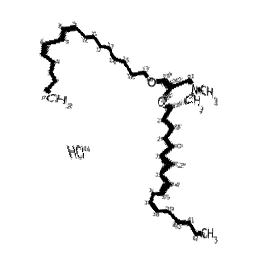 CCCCC/C=C\C/C=C\CCCCCCCCOCC(CN(C)C)OCCCCCCCC/C=C\C/C=C\CCCCC.Cl